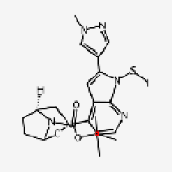 Cn1cc(-c2cc3c(N4CC5CC[C@@H](C4)N5C(=O)OC(C)(C)C)ccnc3n2SI)cn1